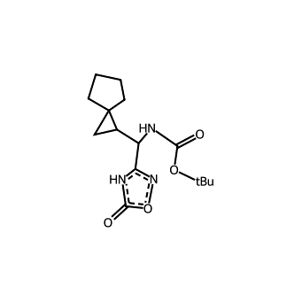 CC(C)(C)OC(=O)NC(c1noc(=O)[nH]1)C1CC12CCCC2